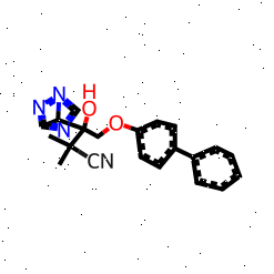 CC(C)(C#N)C(O)(COc1ccc(-c2ccccc2)cc1)C1c2ncn1n2